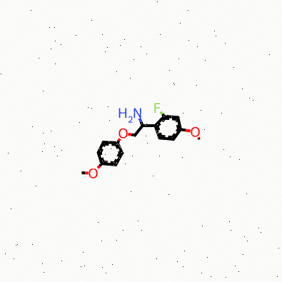 COc1ccc(OCC(N)c2ccc(OC)cc2F)cc1